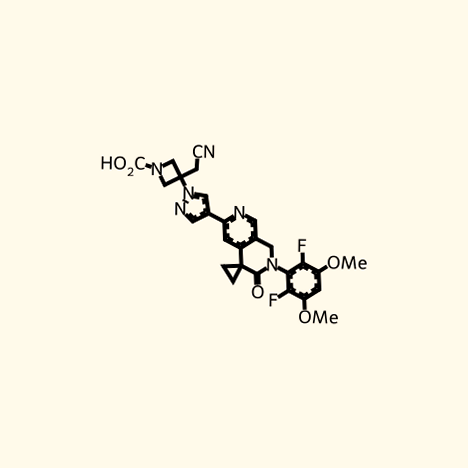 COc1cc(OC)c(F)c(N2Cc3cnc(-c4cnn(C5(CC#N)CN(C(=O)O)C5)c4)cc3C3(CC3)C2=O)c1F